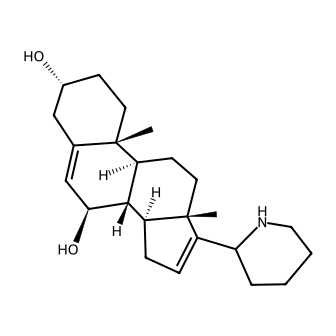 C[C@]12CC[C@@H](O)CC1=C[C@H](O)[C@@H]1[C@@H]2CC[C@]2(C)C(C3CCCCN3)=CC[C@@H]12